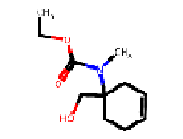 CCOC(=O)N(C)C1(CO)CC=CCC1